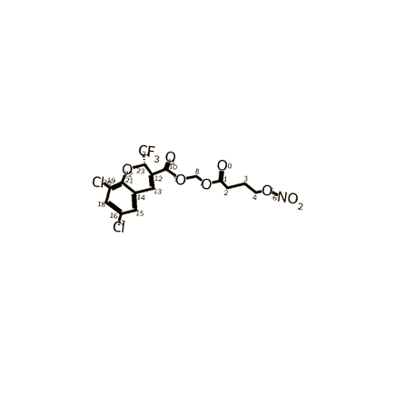 O=C(CCCO[N+](=O)[O-])OCOC(=O)C1=Cc2cc(Cl)cc(Cl)c2O[C@@H]1C(F)(F)F